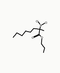 CCCCCCC(C)(C(=O)OCCC)N(Cl)Cl